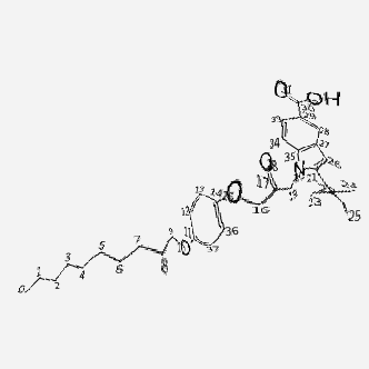 CCCCCCCCCCOc1ccc(OCC(=O)Cn2c(C(C)(C)C)cc3cc(C(=O)O)ccc32)cc1